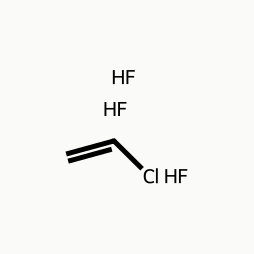 C=CCl.F.F.F